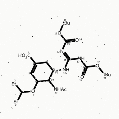 CCC(CC)OC1C=C(C(=O)O)C[C@H](NC(=NC(=O)OC(C)(C)C)NC(=O)OC(C)(C)C)C1NC(C)=O